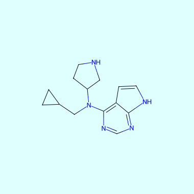 c1nc(N(CC2CC2)C2CCNC2)c2cc[nH]c2n1